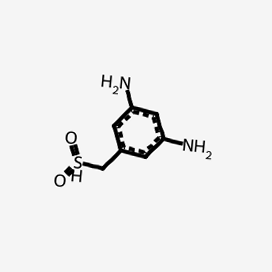 Nc1cc(N)cc(C[SH](=O)=O)c1